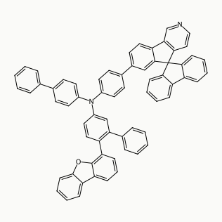 c1ccc(-c2ccc(N(c3ccc(-c4ccc5c(c4)C4(c6ccccc6-c6ccccc64)c4ccncc4-5)cc3)c3ccc(-c4cccc5c4oc4ccccc45)c(-c4ccccc4)c3)cc2)cc1